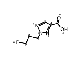 O=C(O)c1cnn(CCCF)n1